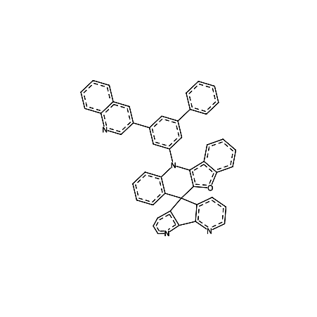 c1ccc(-c2cc(-c3cnc4ccccc4c3)cc(N3c4ccccc4C4(c5cccnc5-c5ncccc54)c4oc5ccccc5c43)c2)cc1